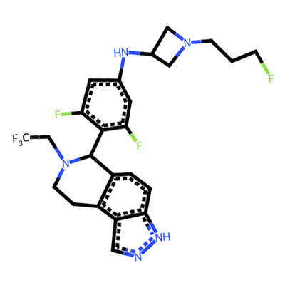 FCCCN1CC(Nc2cc(F)c(C3c4ccc5[nH]ncc5c4CCN3CC(F)(F)F)c(F)c2)C1